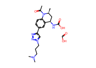 CC(=O)N1c2ccc(-c3cn(CCCN(C)C)nn3)cc2[C@H](NC(=O)O)C[C@@H]1C.O=CO